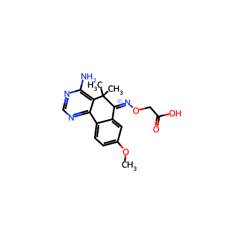 COc1ccc2c(c1)/C(=N\OCC(=O)O)C(C)(C)c1c(N)ncnc1-2